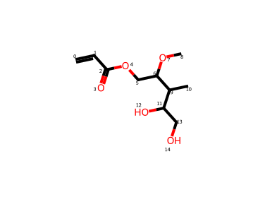 C=CC(=O)OCC(OC)C(C)C(O)CO